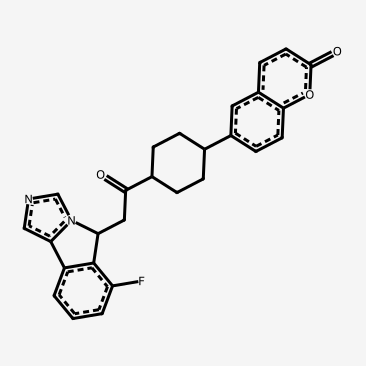 O=C(CC1c2c(F)cccc2-c2cncn21)C1CCC(c2ccc3oc(=O)ccc3c2)CC1